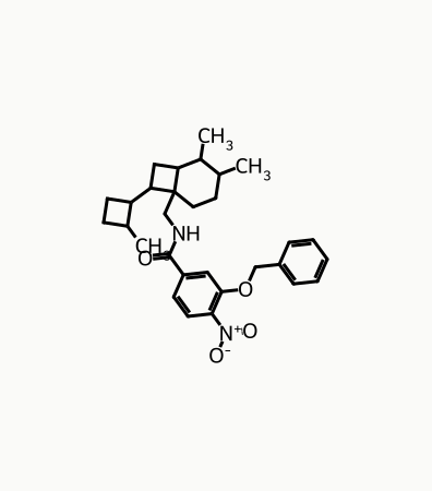 CC1CCC2(CNC(=O)c3ccc([N+](=O)[O-])c(OCc4ccccc4)c3)C(CC2C2CCC2C)C1C